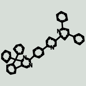 c1ccc(-c2cc(-c3ccccc3)nc(-c3ccc(-c4ccc(-c5ncc6c(n5)C(c5ccccc5)(c5ccccc5)c5ccccc5-6)cc4)nc3)c2)cc1